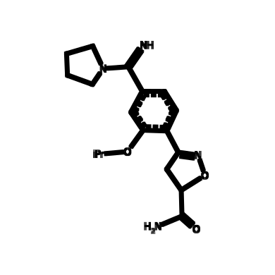 CC(C)Oc1cc(C(=N)N2CCCC2)ccc1C1=NOC(C(N)=O)C1